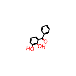 O=C(c1ccccc1)c1cccc(O)c1O